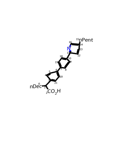 CCCCCCCCCCC(C(=O)O)c1ccc(-c2ccc(-c3ccc(CCCCC)cn3)cc2)cc1